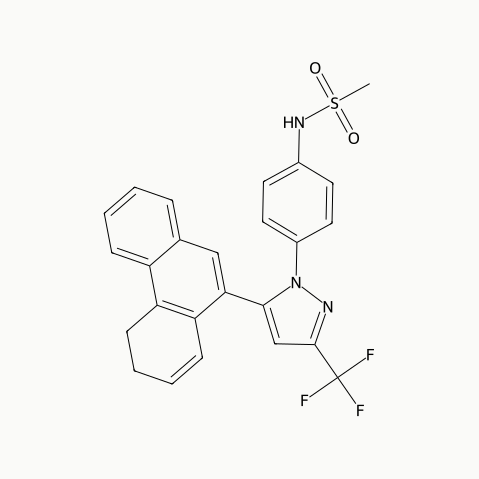 CS(=O)(=O)Nc1ccc(-n2nc(C(F)(F)F)cc2-c2cc3ccccc3c3c2C=CCC3)cc1